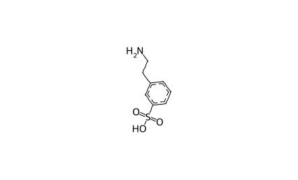 NCCc1cccc(S(=O)(=O)O)c1